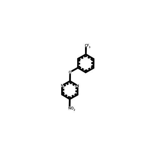 O=[N+]([O-])c1cnc(Oc2cccc(C(F)(F)F)c2)nc1